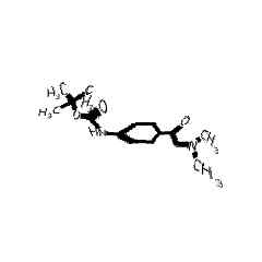 CN(C)CC(=O)C1CCC(NC(=O)OC(C)(C)C)CC1